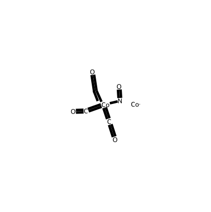 O=[C]=[Co](=[C]=O)(=[C]=O)[N]=O.[Co]